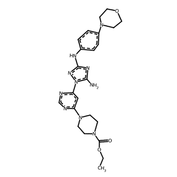 CCOC(=O)N1CCN(c2cc(-n3nc(Nc4ccc(N5CCOCC5)cc4)nc3N)ncn2)CC1